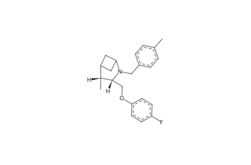 Cc1ccc(CN2C3CC(C3)[C@@H](C)[C@H]2COc2ccc(F)cc2)cc1